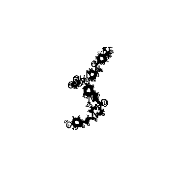 COc1ccc(/C=C/CN2CCN(C(=O)c3cc4cc(Oc5ccc(N(C)C(=O)c6ccc(C(F)(F)F)cc6)cn5)ccc4n3C)CC2)cc1.CS(=O)(=O)O